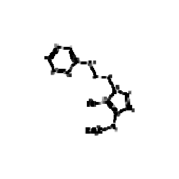 CCOC(=O)Oc1ncn(CCOc2ccccc2)c1O